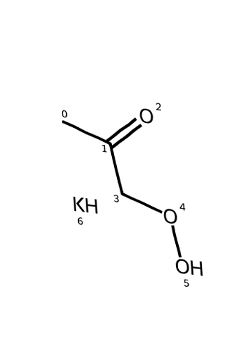 CC(=O)COO.[KH]